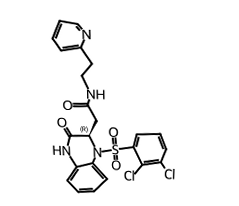 O=C(C[C@@H]1C(=O)Nc2ccccc2N1S(=O)(=O)c1cccc(Cl)c1Cl)NCCc1ccccn1